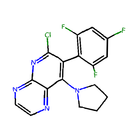 Fc1cc(F)c(-c2c(Cl)nc3nccnc3c2N2CCCC2)c(F)c1